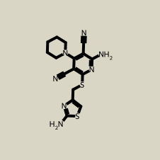 N#Cc1c(N)nc(SCc2csc(N)n2)c(C#N)c1N1CCCCC1